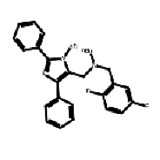 CCCCN(Cc1cc(F)ccc1F)Cc1c(-c2ccccc2)nc(-c2ccccc2)n1CCC